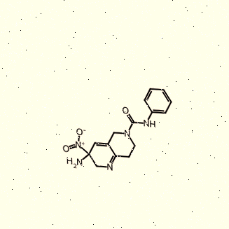 NC1([N+](=O)[O-])C=C2CN(C(=O)Nc3ccccc3)CCC2=NC1